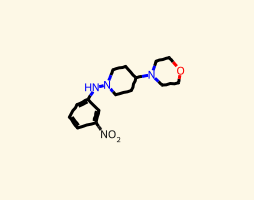 O=[N+]([O-])c1cccc(NN2CCC(N3CCOCC3)CC2)c1